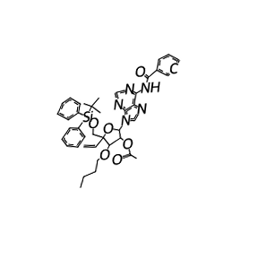 C=CC1(CO[Si](c2ccccc2)(c2ccccc2)C(C)(C)C)OC(n2cnc3c(NC(=O)c4ccccc4)ncnc32)C(OC(C)=O)C1OCCCC